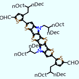 CCCCCCCCCCC(CCCCCCCC)Cc1cc(C=O)sc1-c1cc2c(s1)c1sc3c(sc4c5sc(-c6sc(C=O)cc6CC(CCCCCCCC)CCCCCCCCCC)cc5n(CC(CCCCCCCC)CCCCCCCCCC)c43)c1n2CC(CCCCCCCC)CCCCCCCCCC